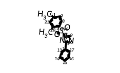 Cc1ccc(S(=O)(=O)n2cnc(-c3ccccc3)n2)c(C)c1